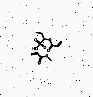 C=CC(=O)OC.C=CC(=O)OC(CC)S(=O)(=O)O